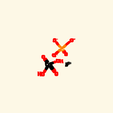 O=P([O-])([O-])[O-].[B+3].[O]=[Cr](=[O])([OH])[OH]